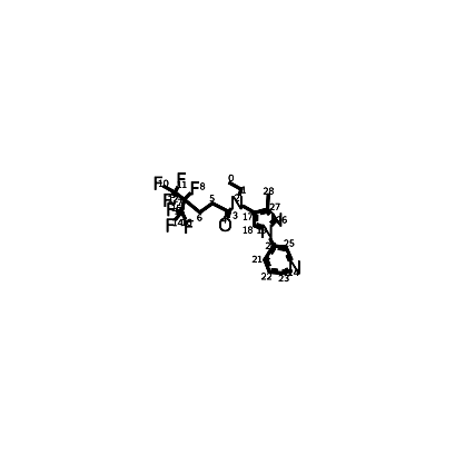 CCN(C(=O)CCC(F)(C(F)(F)F)C(F)(F)F)c1cn(-c2cccnc2)nc1C